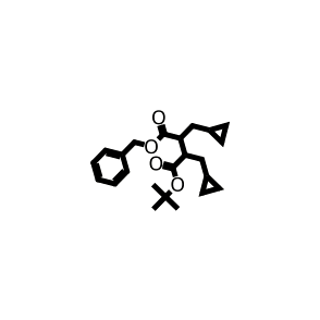 CC(C)(C)OC(=O)C(CC1CC1)C(CC1CC1)C(=O)OCc1ccccc1